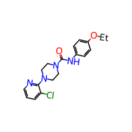 CCOc1ccc(NC(=O)N2CCN(c3ncccc3Cl)CC2)cc1